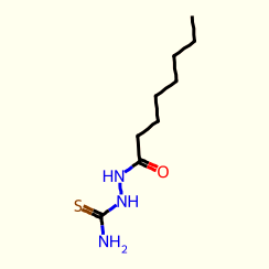 CCCCCCCC(=O)NNC(N)=S